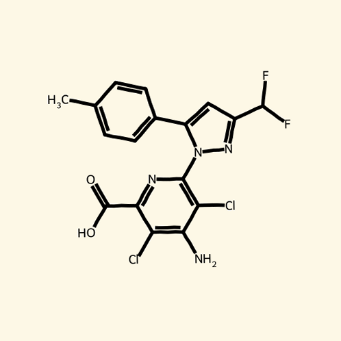 Cc1ccc(-c2cc(C(F)F)nn2-c2nc(C(=O)O)c(Cl)c(N)c2Cl)cc1